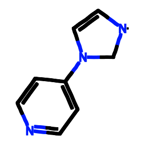 C1=CN(c2ccncc2)C[N]1